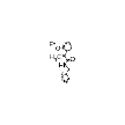 CCOc1ccccc1[C@@H](C)C(=O)NCc1cccs1